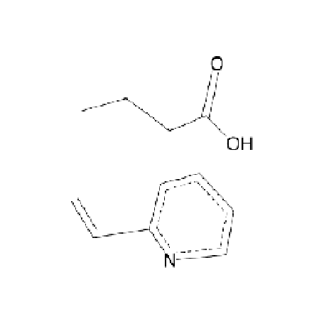 C=Cc1ccccn1.CCCC(=O)O